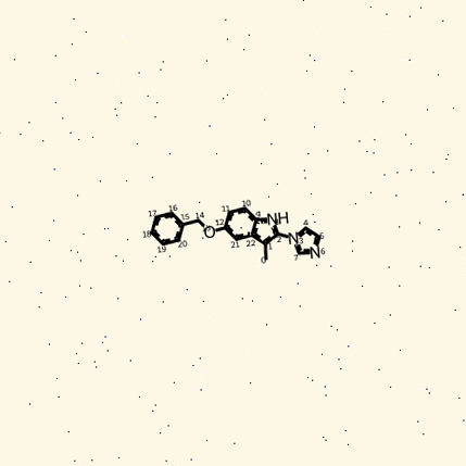 Cc1c(-n2ccnc2)[nH]c2ccc(OCc3ccccc3)cc12